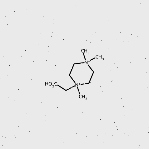 C[N+]1(C)CC[N+](C)(CC(=O)O)CC1